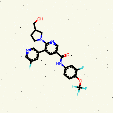 O=C(Nc1ccc(OC(F)(F)F)c(F)c1)c1cnc(N2CCC(CO)C2)c(-c2cncc(F)c2)c1